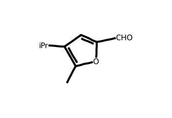 Cc1oc(C=O)cc1C(C)C